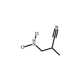 CC(C#N)C[SiH](Cl)Cl